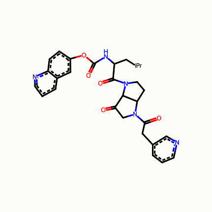 CC(C)CC(NC(=O)Oc1ccc2ncccc2c1)C(=O)N1CCC2C1C(=O)CN2C(=O)Cc1cccnc1